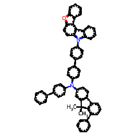 CC1(C)c2cc(N(c3ccc(-c4ccccc4)cc3)c3ccc(-c4ccc(-n5c6ccccc6c6c7c(ccc65)oc5ccccc57)cc4)cc3)ccc2-c2cccc(-c3ccccc3)c21